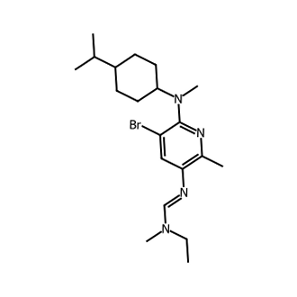 CCN(C)/C=N/c1cc(Br)c(N(C)C2CCC(C(C)C)CC2)nc1C